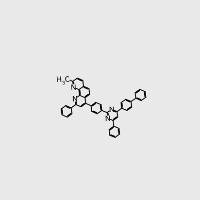 Cc1ccc2ccc3c(-c4ccc(-c5nc(-c6ccccc6)cc(-c6ccc(-c7ccccc7)cc6)n5)cc4)cc(-c4ccccc4)nc3c2n1